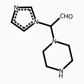 O=CC(N1CCNCC1)n1ccnc1